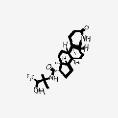 CC(C)(NC(=O)[C@H]1CC[C@H]2[C@@H]3CC[C@H]4NC(=O)C=C[C@]4(C)[C@H]3CC[C@]12C)C(O)C(F)(F)F